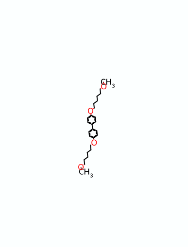 COCCCCCCOc1ccc(-c2ccc(OCCCCCCOC)cc2)cc1